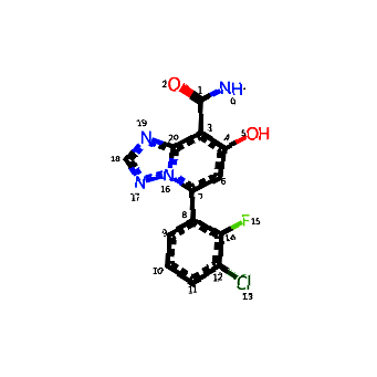 [NH]C(=O)c1c(O)cc(-c2cccc(Cl)c2F)n2ncnc12